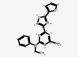 CCN(c1ccccc1)c1nc(N)nc(-c2noc(-c3cccs3)n2)n1